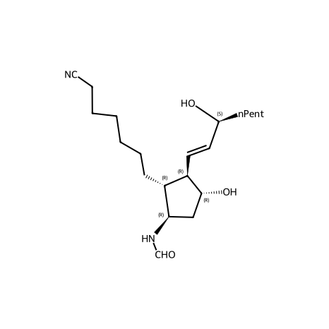 CCCCC[C@H](O)C=C[C@@H]1[C@@H](CCCCCCC#N)[C@H](NC=O)C[C@H]1O